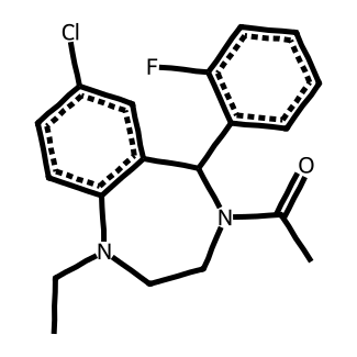 CCN1CCN(C(C)=O)C(c2ccccc2F)c2cc(Cl)ccc21